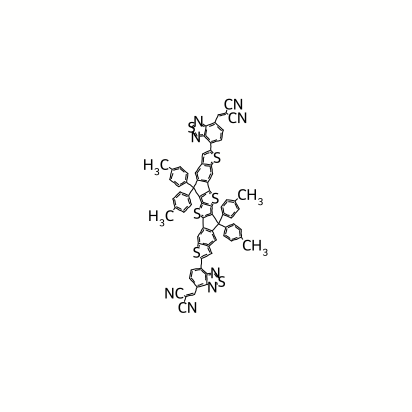 Cc1ccc(C2(c3ccc(C)cc3)c3cc4cc(-c5ccc(C=C(C#N)C#N)c6nsnc56)sc4cc3-c3sc4c5c(sc4c32)-c2cc3sc(-c4ccc(C=C(C#N)C#N)c6nsnc46)cc3cc2C5(c2ccc(C)cc2)c2ccc(C)cc2)cc1